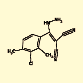 Cc1ccc(C(NN)=C(C#N)C#N)c(C)c1Cl